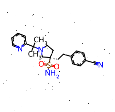 CC(C)(c1ccccn1)N1CC[C@@](CCc2ccc(C#N)cc2)(S(N)(=O)=O)C1